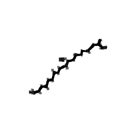 CC(O)COCCOCCOCCOCCOCCO.Cl